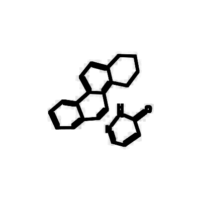 O=c1cccn[nH]1.c1ccc2c(c1)ccc1c3c(ccc12)CCCC3